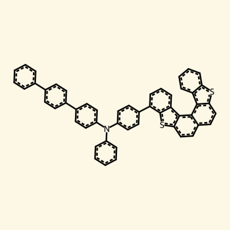 c1ccc(-c2ccc(-c3ccc(N(c4ccccc4)c4ccc(-c5cccc6c5sc5ccc7ccc8sc9ccccc9c8c7c56)cc4)cc3)cc2)cc1